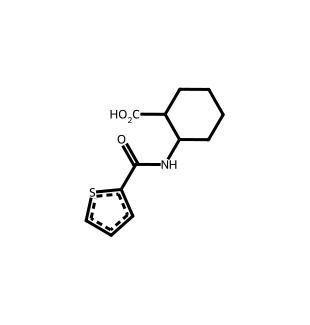 O=C(NC1CCCCC1C(=O)O)c1cccs1